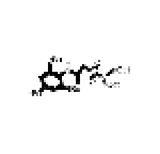 CCCCCCCCN(CCCCCCCC)S(=O)(=O)CC(=O)Nc1c(C(C)(C)C)cc(C(C)(C)C)cc1C(C)(C)C